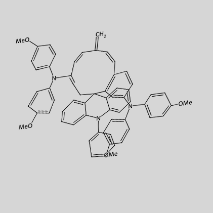 C=C1/C=C\C(N(c2ccc(OC)cc2)c2ccc(OC)cc2)=C/CC2(c3cc(N(c4ccc(OC)cc4)c4ccc(OC)cc4)ccc3/C=C\1)c1ccccc1N(c1ccccc1)c1ccccc12